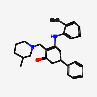 COc1ccccc1NC1=C(CN2CCCC(C)C2)C(=O)CC(c2ccccc2)C1